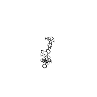 O=C(O)CC(NC(=O)c1ccc(N2CCN(C3=NCCCN3)CC2)cc1Cl)NS(=O)(=O)c1ccccc1